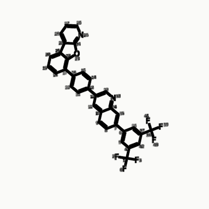 FC(F)(F)c1cc(-c2ccc3cc(-c4ccc(-c5cccc6c5oc5ncccc56)cc4)cnc3c2)cc(C(F)(F)F)c1